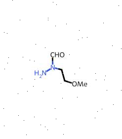 COCCN(N)C=O